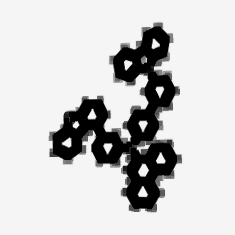 c1cc(-c2cccc3oc4ccccc4c23)cc(N(c2ccc(-c3cccc(-n4c5ccccc5c5ccccc54)c3)cc2)c2cc3ccccc3c3ccccc23)c1